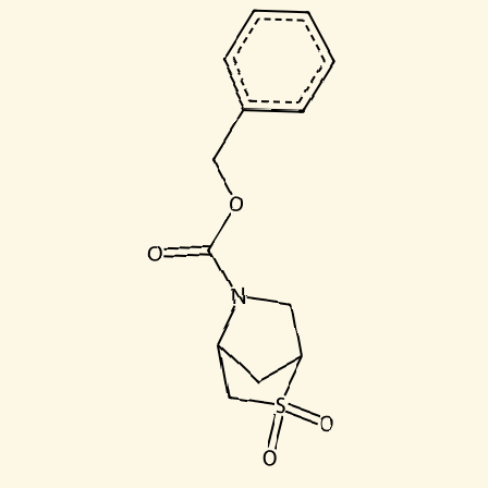 O=C(OCc1ccccc1)N1CC2CC1CS2(=O)=O